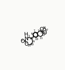 O=C1NC[C@@H](c2ccc3c(c2)CCC2(C3)OCCO2)CCCO1